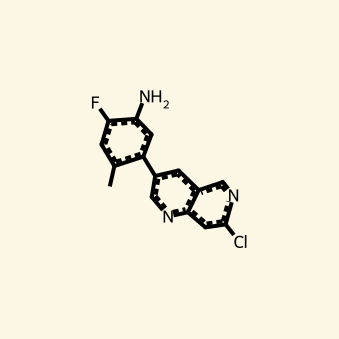 Cc1cc(F)c(N)cc1-c1cnc2cc(Cl)ncc2c1